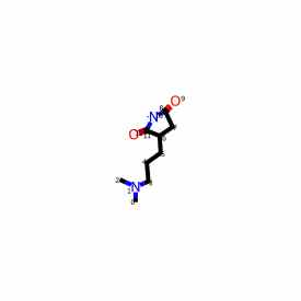 CN(C)CCCC1CC(=O)[N]C1=O